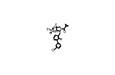 CCS(=O)(=O)N[C@@H]1[C@H](Cc2cccc(-c3cccc(Cl)c3)c2F)N(C(=O)C2CC2)CC1(F)F